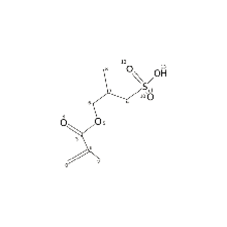 C=C(C)C(=O)OCC(C)CS(=O)(=O)O